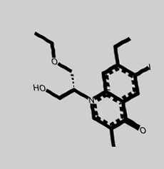 CCOC[C@@H](CO)n1cc(C)c(=O)c2cc(I)c(CC)cc21